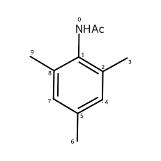 CC(=O)Nc1c(C)[c]c(C)cc1C